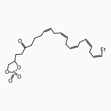 CC/C=C\C/C=C\C/C=C\C/C=C\C/C=C\CCCC(=O)CCC1COS(=O)(=O)O1